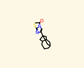 O=C1CSc2nc(C34CC5CCCC(C3)C(C5)C4)cn21